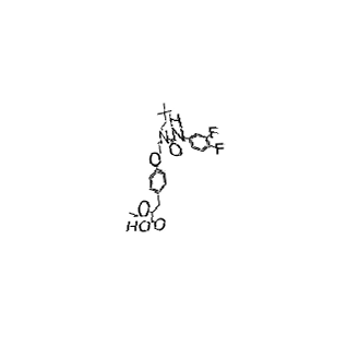 CCOC(Cc1ccc(OCCN(CCC(C)(C)C)C(=O)Nc2ccc(F)c(F)c2)cc1)C(=O)O